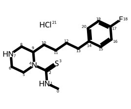 CNC(=S)N1CCNCC1CCCCc1ccc(F)cc1.Cl